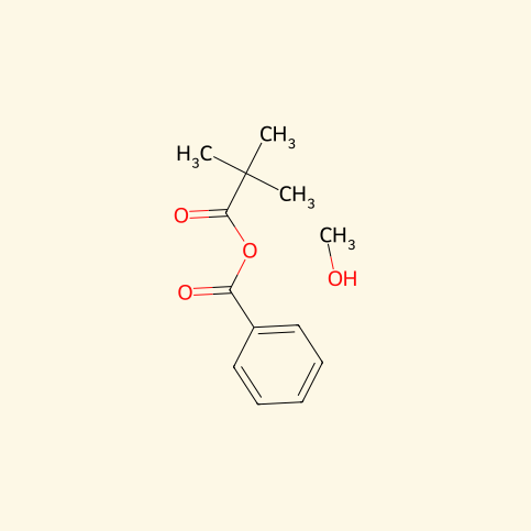 CC(C)(C)C(=O)OC(=O)c1ccccc1.CO